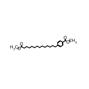 COC(=O)CCCCCCCCCCCCCc1ccc(C(=O)OC)cc1